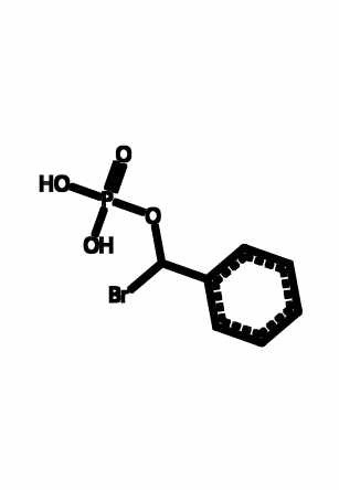 O=P(O)(O)OC(Br)c1ccccc1